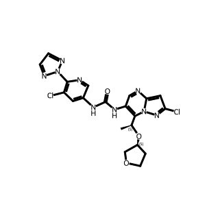 C[C@H](O[C@H]1CCOC1)c1c(NC(=O)Nc2cnc(-n3nccn3)c(Cl)c2)cnc2cc(Cl)nn12